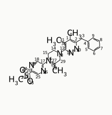 Cc1c(Cc2ccccc2)nnc(N2CCN(c3cnc(S(C)(=O)=O)cn3)[C@H](C)C2)c1C